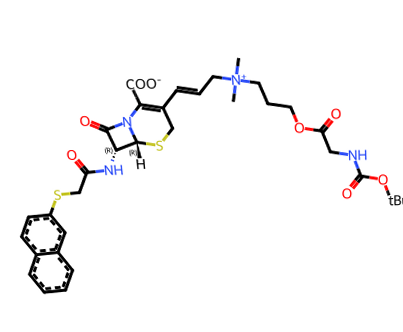 CC(C)(C)OC(=O)NCC(=O)OCCC[N+](C)(C)CC=CC1=C(C(=O)[O-])N2C(=O)[C@@H](NC(=O)CSc3ccc4ccccc4c3)[C@H]2SC1